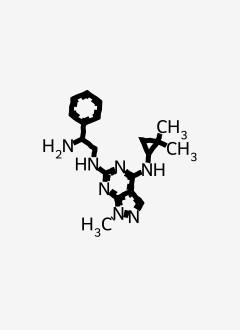 Cn1ncc2c(NC3CC3(C)C)nc(NCC(N)c3ccccc3)nc21